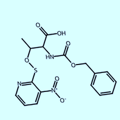 CC(OSc1ncccc1[N+](=O)[O-])C(NC(=O)OCc1ccccc1)C(=O)O